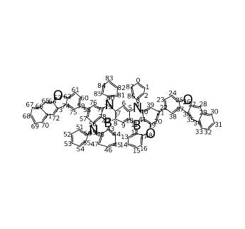 c1ccc(N2c3cc4c(cc3B3c5ccccc5Oc5cc(-c6ccc7oc8cc9ccccc9cc8c7c6)cc2c53)B2c3ccccc3N(c3ccccc3)c3cc(-c5ccc6oc7cc8ccccc8cc7c6c5)cc(c32)N4c2ccccc2)cc1